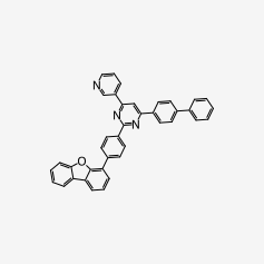 c1ccc(-c2ccc(-c3cc(-c4cccnc4)nc(-c4ccc(-c5cccc6c5oc5ccccc56)cc4)n3)cc2)cc1